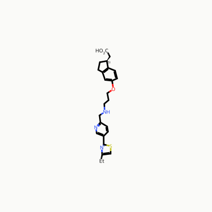 CCc1csc(-c2ccc(CNCCCOc3ccc4c(c3)CC[C@H]4CC(=O)O)nc2)n1